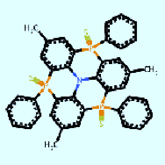 Cc1cc2c3c(c1)P(=S)(c1ccccc1)c1cc(C)cc4c1N3c1c(cc(C)cc1P4(=S)c1ccccc1)P2(=S)c1ccccc1